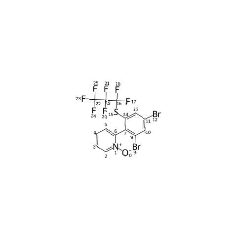 [O-][n+]1ccccc1-c1c(Br)[c]c(Br)cc1SC(F)(F)C(F)(F)C(F)(F)F